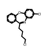 ClCCCCC1=Nc2cc(Cl)ccc2Oc2ccccc21